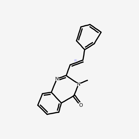 Cn1c(/C=C/c2ccccc2)nc2ccccc2c1=O